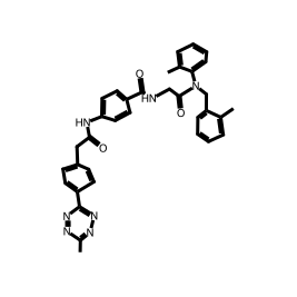 Cc1nnc(-c2ccc(CC(=O)Nc3ccc(C(=O)NCC(=O)N(Cc4ccccc4C)c4ccccc4C)cc3)cc2)nn1